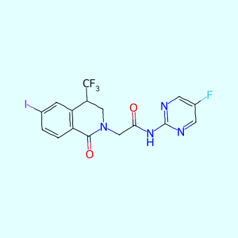 O=C(CN1CC(C(F)(F)F)c2cc(I)ccc2C1=O)Nc1ncc(F)cn1